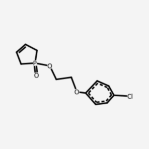 O=P1(OCCOc2ccc(Cl)cc2)CC=CC1